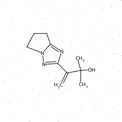 C=C(c1nc2n(n1)CCC2)C(C)(C)O